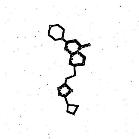 O=c1cc(N2CCOCC2)nc2cc(CCc3nc(C4CCC4)cs3)ccn12